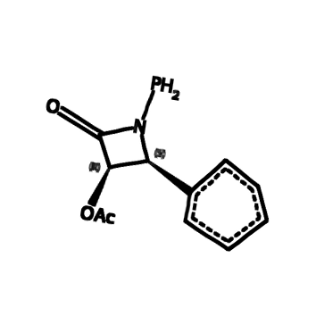 CC(=O)O[C@H]1C(=O)N(P)[C@H]1c1ccccc1